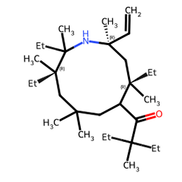 C=C[C@@]1(C)C[C@@](C)(CC)C(C(=O)C(C)(CC)CC)CC(C)(C)C[C@@](C)(CC)C(C)(CC)N1